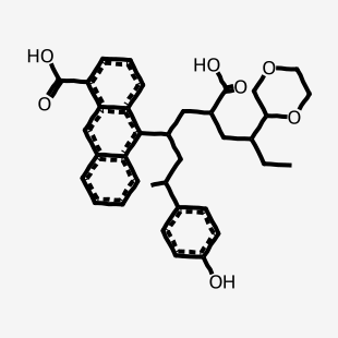 CCC(CC(CC(CC(C)c1ccc(O)cc1)c1c2ccccc2cc2c(C(=O)O)cccc12)C(=O)O)C1COCCO1